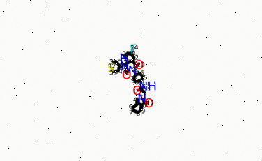 O=C(CN1Cc2ccccc2C1=O)N[C@H]1CC[C@@H](n2c(=O)c3cc(F)cnc3n(C3CCSCC3)c2=O)CC1